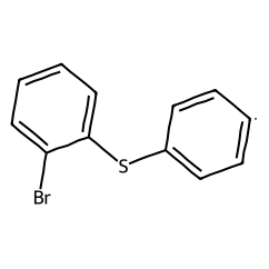 Brc1ccccc1Sc1cc[c]cc1